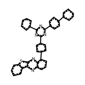 c1ccc(-c2ccc(-c3nc(-c4ccccc4)nc(-c4ccc(-c5cccc6nc7c(nc56)sc5ccccc57)cc4)n3)cc2)cc1